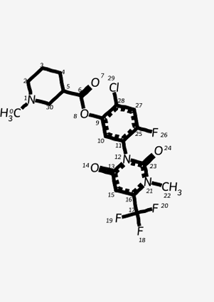 CN1CCCC(C(=O)Oc2cc(-n3c(=O)cc(C(F)(F)F)n(C)c3=O)c(F)cc2Cl)C1